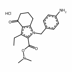 CCc1c2c(n(Cc3ccc(N)cc3)c1C(=O)ON(C)C)CCCC2=O.Cl